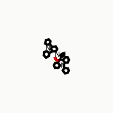 c1ccc(N2c3ccccc3C3(c4ccccc42)c2ccccc2N(c2ccc4c5ccccc5n5c6ccccc6c2c45)c2ccccc23)cc1